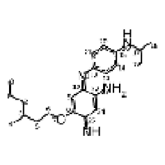 CCCC(C)CCOC1=C/C(=N/c2ccc(NC(C)C)cc2)C(N)=CC1=N